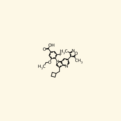 CCOc1cc(C(=O)O)cc(F)c1-n1cc(CC2CCC2)c2ncc(-c3c(C)noc3C)cc21